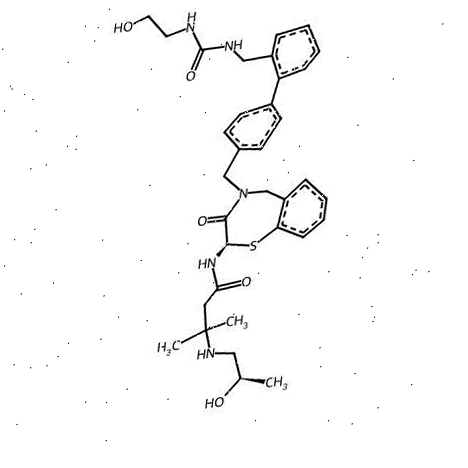 C[C@@H](O)CNC(C)(C)CC(=O)N[C@@H]1Sc2ccccc2CN(Cc2ccc(-c3ccccc3CNC(=O)NCCO)cc2)C1=O